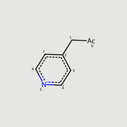 CC(=O)Cc1c[c]ncc1